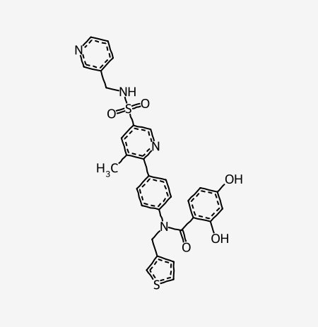 Cc1cc(S(=O)(=O)NCc2cccnc2)cnc1-c1ccc(N(Cc2ccsc2)C(=O)c2ccc(O)cc2O)cc1